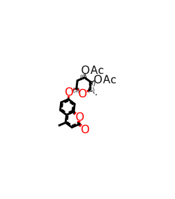 CC(=O)O[C@@H]1[C@H](C)O[C@@H](Oc2ccc3c(C)cc(=O)oc3c2)C[C@@H]1OC(C)=O